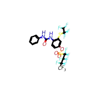 O=C(Nc1ccccc1)Nc1ccc(OS(=O)(=O)C(F)(F)C(F)(F)C(F)(F)C(F)(F)F)cc1SC(F)(F)C(F)F